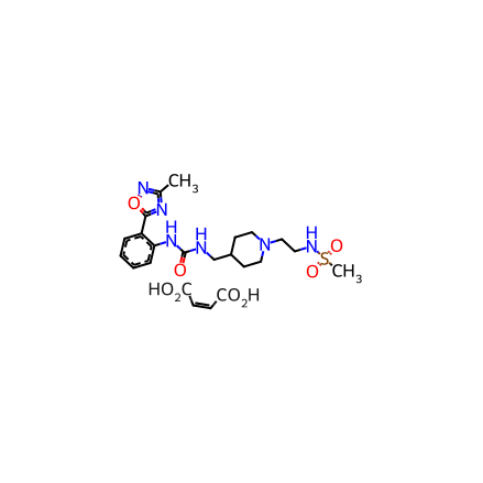 Cc1noc(-c2ccccc2NC(=O)NCC2CCN(CCNS(C)(=O)=O)CC2)n1.O=C(O)/C=C\C(=O)O